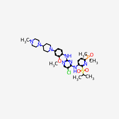 COc1cc(N2CCC(N3CCN(C)CC3)CC2)ccc1Nc1ncc(Cl)c(Nc2ccc(P(C)(C)=O)nc2S(=O)(=O)C(C)C)n1